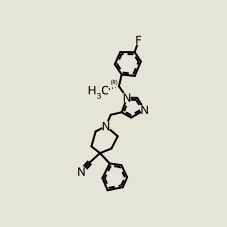 C[C@H](c1ccc(F)cc1)n1cncc1CN1CCC(C#N)(c2ccccc2)CC1